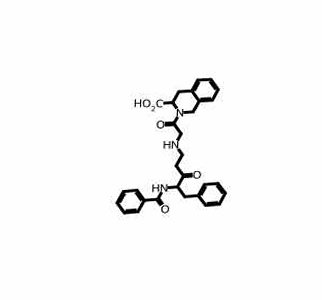 O=C(NC(Cc1ccccc1)C(=O)CCNCC(=O)N1Cc2ccccc2CC1C(=O)O)c1ccccc1